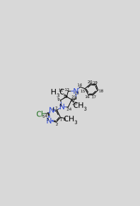 Cc1cnc(Cl)nc1N1C[C@]2(C)CN(Cc3ccccc3)C[C@]2(C)C1